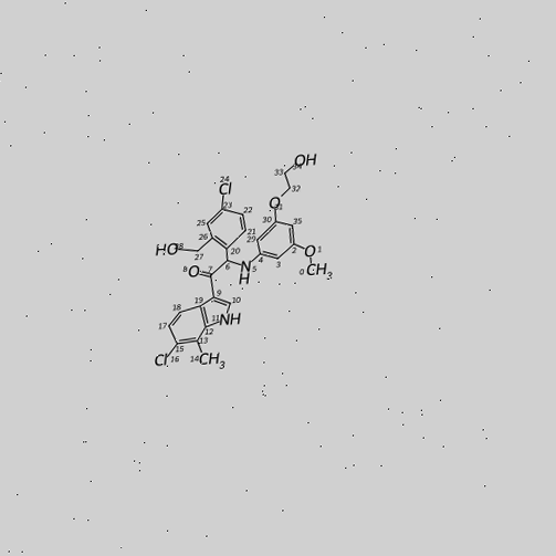 COc1cc(NC(C(=O)c2c[nH]c3c(C)c(Cl)ccc23)c2ccc(Cl)cc2CO)cc(OCCO)c1